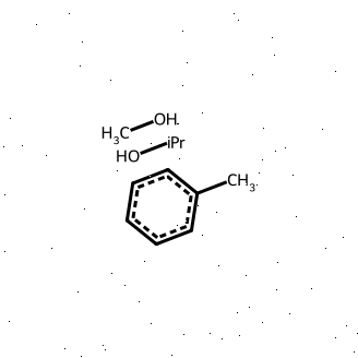 CC(C)O.CO.Cc1ccccc1